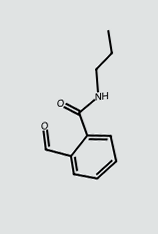 CCCNC(=O)c1ccccc1C=O